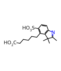 CC1=Nc2ccc(S(=O)(=O)O)c(CCCCCC(=O)O)c2C1(C)C